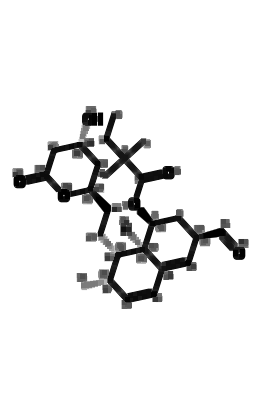 CCC(C)(C)C(=O)O[C@H]1C[C@@H](C=O)C=C2C=C[C@H](C)[C@H](CC[C@@H]3C[C@@H](O)CC(=O)O3)[C@H]21